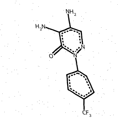 Nc1cnn(-c2ccc(C(F)(F)F)cc2)c(=O)c1N